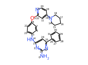 Nc1nc(Nc2ccc(Oc3cc(N4CCCCC4)ccn3)cc2)cc(-c2ccccc2)n1